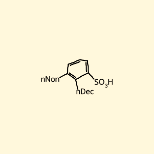 CCCCCCCCCCc1c(CCCCCCCCC)cccc1S(=O)(=O)O